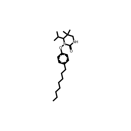 CCCCCCCCc1ccc(ON2C(=O)NCC(C)(C)C2C(C)C)cc1